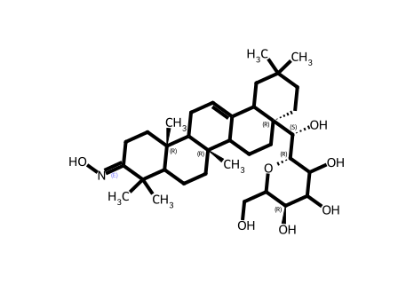 CC1(C)CC[C@]2([C@H](O)[C@H]3OC(CO)[C@H](O)C(O)C3O)CCC3C(=CCC4[C@@]3(C)CCC3C(C)(C)/C(=N/O)CC[C@@]34C)C2C1